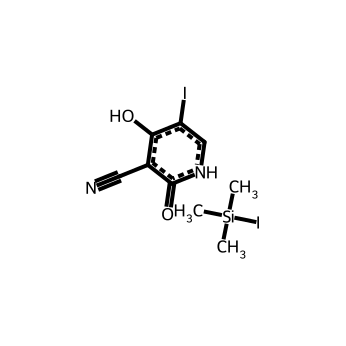 C[Si](C)(C)I.N#Cc1c(O)c(I)c[nH]c1=O